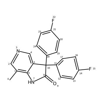 Cc1cncc2c1NC(=O)C2(c1ccc(F)cc1)c1ccc(F)cc1